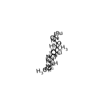 CC(NC(=O)c1noc(C(C)(C)C)n1)c1ccc(-c2ncnc(Nc3ccn(C)n3)n2)c(F)c1Cl